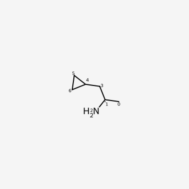 C[C](N)CC1CC1